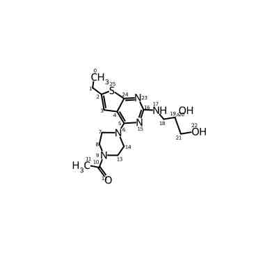 CCc1cc2c(N3CCN(C(C)=O)CC3)nc(NC[C@H](O)CO)nc2s1